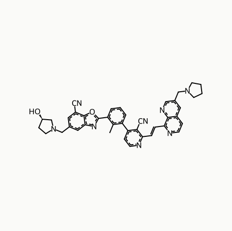 Cc1c(-c2nc3cc(CN4CC[C@@H](O)C4)cc(C#N)c3o2)cccc1-c1ccnc(/C=C/c2nccc3cc(CN4CCCC4)cnc23)c1C#N